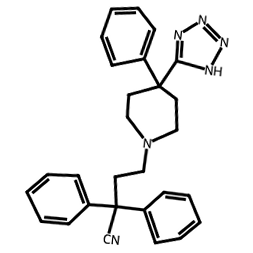 N#CC(CCN1CCC(c2ccccc2)(c2nnn[nH]2)CC1)(c1ccccc1)c1ccccc1